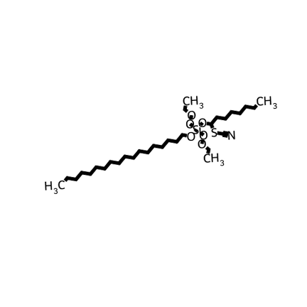 CCCCCCCCCCCCCCCCCCO[Si](OOCC)(OOCC)OC(CCCCCCC)SC#N